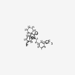 O=C(NCCc1cccc(C(F)(F)F)c1)C1(c2ccc(F)cc2)CCCCC1